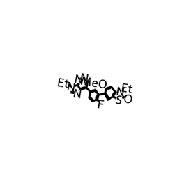 CCn1cnc2c(-c3ccc(F)c(-c4cc5sc(=O)n(CC)c5cc4OC)c3)cnnc21